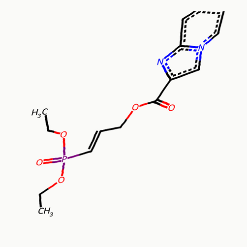 CCOP(=O)(C=CCOC(=O)c1cn2ccccc2n1)OCC